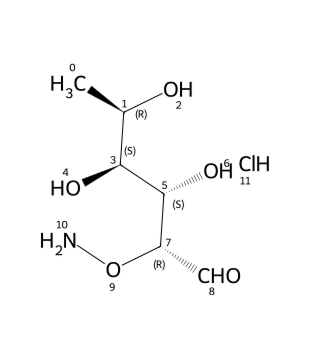 C[C@@H](O)[C@H](O)[C@H](O)[C@H](C=O)ON.Cl